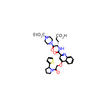 CCOC(=O)N1CCN(C(=O)[C@H](CCC(=O)O)NC(=O)c2cc(OCC(=O)N3CCCC3c3cccs3)c3ccccc3n2)CC1